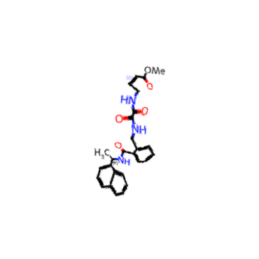 COC(=O)/C=C\CNC(=O)C(=O)NCc1ccccc1C(=O)N[C@H](C)c1cccc2ccccc12